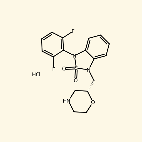 Cl.O=S1(=O)N(C[C@H]2CNCCO2)c2ccccc2N1c1c(F)cccc1F